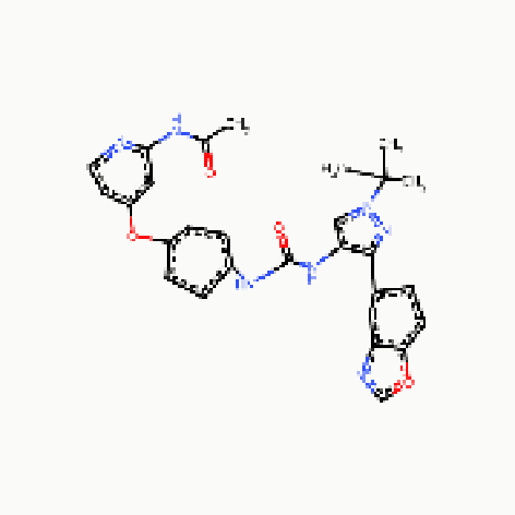 CC(=O)Nc1cc(Oc2ccc(NC(=O)Nc3cn(C(C)(C)C)nc3-c3ccc4ocnc4c3)cc2)ccn1